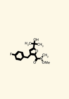 CON(C)C(=O)c1oc(C(C)(C)O)cc1Cc1ccc(F)cc1